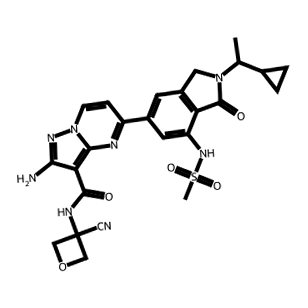 CC(C1CC1)N1Cc2cc(-c3ccn4nc(N)c(C(=O)NC5(C#N)COC5)c4n3)cc(NS(C)(=O)=O)c2C1=O